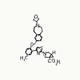 Cc1ccc(OCc2ccc3c(c2)CCN(C2COC2)CC3)c(-c2csc(N3C[C@@H]4C[C@]4(C(=O)O)C3)n2)c1